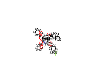 CC(C)(C)[Si](C)(C)OC1C[C@H](OC2CCCCO2)[C@H](/C(=C\CCOc2ccc(F)cc2)OC2CCCCO2)[C@@H]1CC=O